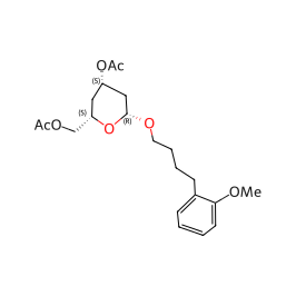 COc1ccccc1CCCCO[C@H]1C[C@@H](OC(C)=O)C[C@@H](COC(C)=O)O1